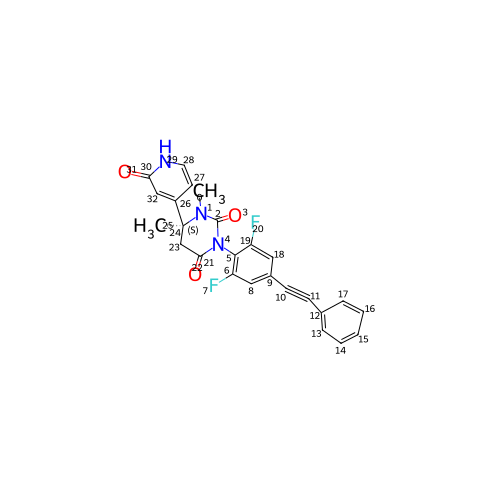 CN1C(=O)N(c2c(F)cc(C#Cc3ccccc3)cc2F)C(=O)C[C@@]1(C)c1cc[nH]c(=O)c1